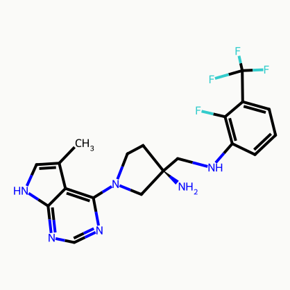 Cc1c[nH]c2ncnc(N3CC[C@](N)(CNc4cccc(C(F)(F)F)c4F)C3)c12